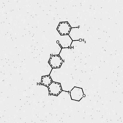 CC(NC(=O)c1ncc(-c2c[nH]c3ncc(N4CCOCC4)cc23)cn1)c1ccccc1F